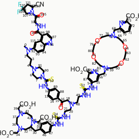 CN(CCCN1CCN(C(=S)Nc2ccc(C(=O)CN(CCNC(=S)Nc3ccc(CC4CN(CC(=O)O)CCN(CC(=O)O)CCN4CC(=O)O)cc3)CCNC(=S)Nc3cc(CN4CCOCCOCCN(Cc5cccc(C(=O)O)n5)CCOCCOCC4)nc(C(=O)O)c3)cc2)CC1)c1ccc2nccc(C(=O)NCC(=O)N3CC(F)(F)C[C@H]3C#N)c2c1